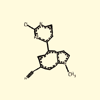 Cn1ccc2c(-c3ccnc(Cl)n3)cc(C#N)cc21